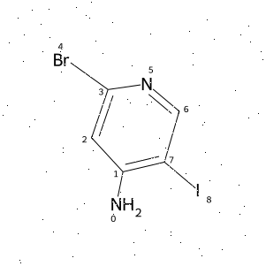 Nc1cc(Br)ncc1I